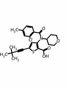 Cc1ccc(C(=O)N(c2cc(C#CC(C)(C)C)sc2C(=O)O)C2CCOCC2)c(Cl)c1